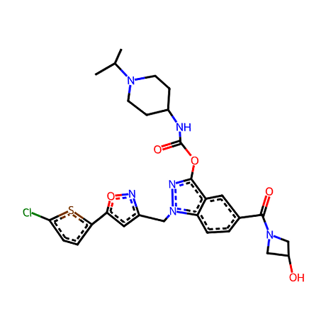 CC(C)N1CCC(NC(=O)Oc2nn(Cc3cc(-c4ccc(Cl)s4)on3)c3ccc(C(=O)N4CC(O)C4)cc23)CC1